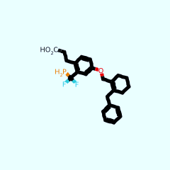 O=C(O)CCc1ccc(OCC2=C(Cc3ccccc3)CCCC2)cc1C(F)(F)P